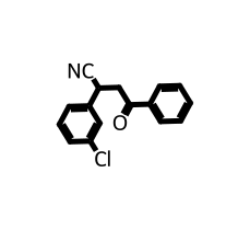 N#CC(CC(=O)c1ccccc1)c1cccc(Cl)c1